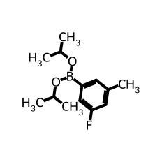 Cc1cc(F)cc(B(OC(C)C)OC(C)C)c1